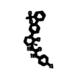 C[C@]1(NC(=O)Nc2ccc(Cl)cc2)CCCN(c2ccc(-c3ccccc3S(C)(=O)=O)cc2)C1=O